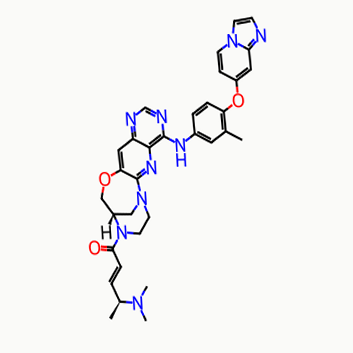 Cc1cc(Nc2ncnc3cc4c(nc23)N2CCN(C(=O)/C=C/[C@H](C)N(C)C)[C@H](CO4)C2)ccc1Oc1ccn2ccnc2c1